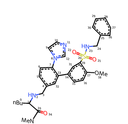 CCCCC(NCc1ccc(-n2ccnc2)c(-c2ccc(OC)c(S(=O)(=O)NCc3ccccc3)c2)c1)C(=O)NC